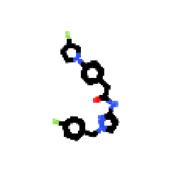 O=C(Cc1ccc(N2CCC(F)C2)cc1)Nc1ccn(Cc2ccc(F)cc2)n1